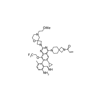 C=CC(=O)N1CC2(CCN(c3nc(N4CC5(CN(CCOC)CCO5)C4)nc4c(OCC(F)(F)F)c(-c5c(C)ccc(N)c5C=N)c(C5CC5)cc34)CC2)C1